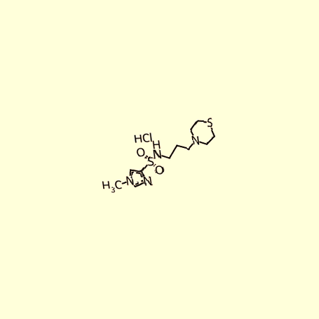 Cl.Cn1cnc(S(=O)(=O)NCCCN2CCSCC2)c1